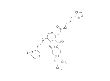 N/C=C/NC/C=C/C1C(OCCC2CCCC3OC23)C=CC(CC(=O)NCCCc2ccc[nH]2)C1C(=O)NCCCN